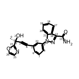 C[C@](O)(C#Cc1cccc(-n2nc(C(N)=O)c3ccccc32)c1)c1ncco1